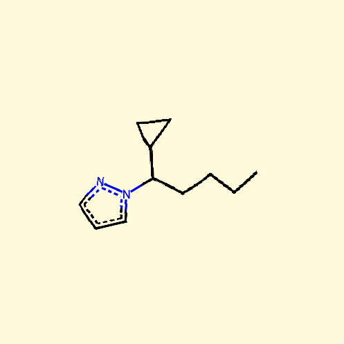 CCCCC(C1CC1)n1cccn1